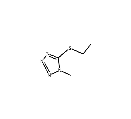 CCSc1nnnn1C